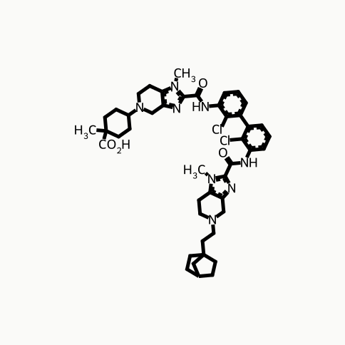 Cn1c(C(=O)Nc2cccc(-c3cccc(NC(=O)c4nc5c(n4C)CCN(C4CCC(C)(C(=O)O)CC4)C5)c3Cl)c2Cl)nc2c1CCN(CCC13CCC(CC1)C3)C2